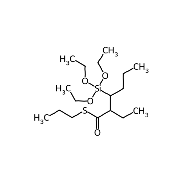 CCCSC(=O)C(CC)C(CCC)[Si](OCC)(OCC)OCC